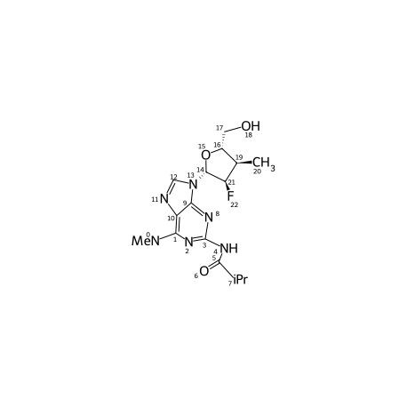 CNc1nc(NC(=O)C(C)C)nc2c1ncn2[C@@H]1O[C@H](CO)[C@@H](C)[C@H]1F